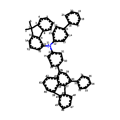 CC1(C)c2ccccc2-c2c(N(c3ccc(-c4ccccc4)cc3)c3ccc(-c4cc(-c5ccccc5)c5c6c(cccc46)-c4ccccc4-5)cc3)cccc21